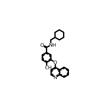 Cc1ccc(C(=O)NCC2CCCCC2)cc1Oc1ccnc2ccccc12